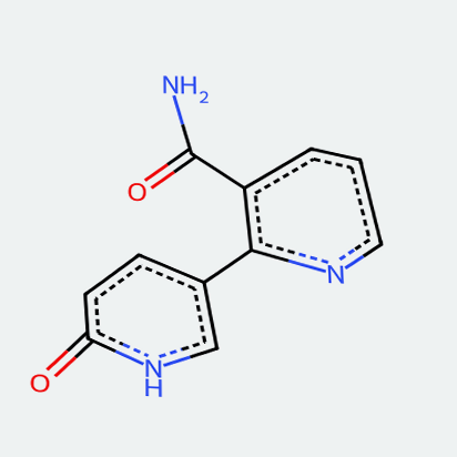 NC(=O)c1cccnc1-c1ccc(=O)[nH]c1